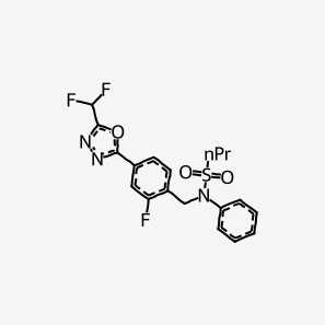 CCCS(=O)(=O)N(Cc1ccc(-c2nnc(C(F)F)o2)cc1F)c1ccccc1